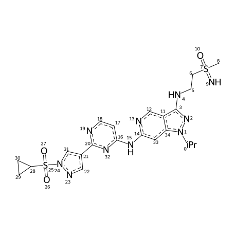 CC(C)n1nc(NCCS(C)(=N)=O)c2cnc(Nc3ccnc(-c4cnn(S(=O)(=O)C5CC5)c4)n3)cc21